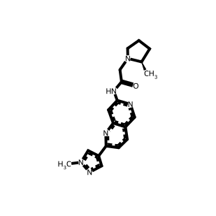 C[C@@H]1CCCN1CC(=O)Nc1cc2nc(-c3cnn(C)c3)ccc2cn1